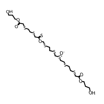 O=C(CSCCSCC[S+]([O-])CSCCSCOC(=S)CSCCSCC(=O)OCCCO)OCCCO